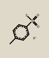 Cc1ccc(S(=O)(=O)[S-])cc1.[K+]